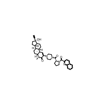 C#C[C@]1(O)CC[C@H]2[C@@H]3CC[C@H]4N(C)C(=O)C(N5CCN(C(=O)[C@@H]6CCCN6C(=O)c6ccc7ccccc7n6)CC5)=C[C@]4(C)[C@H]3CC[C@@]21C